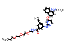 C#Cc1cc(Nc2nccc(Oc3ccc(NC(=O)O)c4ccccc34)n2)cc(C(=O)NCCOCCOCCOCCOC)c1